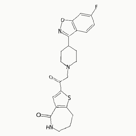 O=C(CN1CCC(c2noc3cc(F)ccc23)CC1)c1cc2c(s1)CCCNC2=O